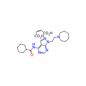 O=C(Nc1ncnc2c1cnn2CCN1CCCCCC1)C1CCCCC1.O=C(O)/C=C\C(=O)O